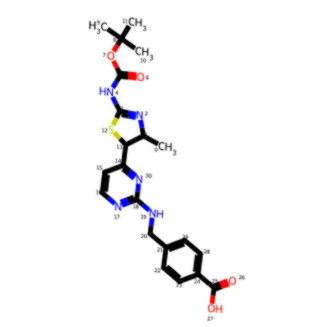 CC1N=C(NC(=O)OC(C)(C)C)SC1c1ccnc(NCc2ccc(C(=O)O)cc2)n1